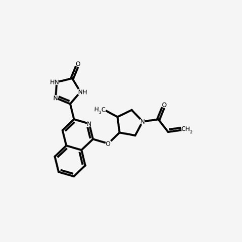 C=CC(=O)N1CC(C)C(Oc2nc(-c3n[nH]c(=O)[nH]3)cc3ccccc23)C1